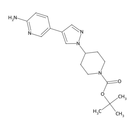 CC(C)(C)OC(=O)N1CCC(n2cc(-c3ccc(N)nc3)cn2)CC1